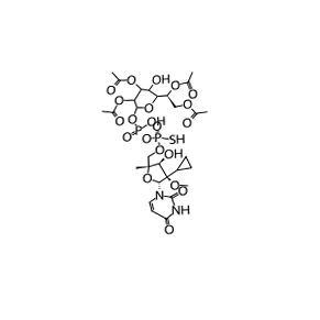 CO[C@@]1(C2CC2)[C@H](n2ccc(=O)[nH]c2=O)O[C@](C)(COP(=O)(S)OP(=O)(O)OC2OC([C@H](COC(C)=O)OC(C)=O)C(O)C(OC(C)=O)C2OC(C)=O)[C@H]1O